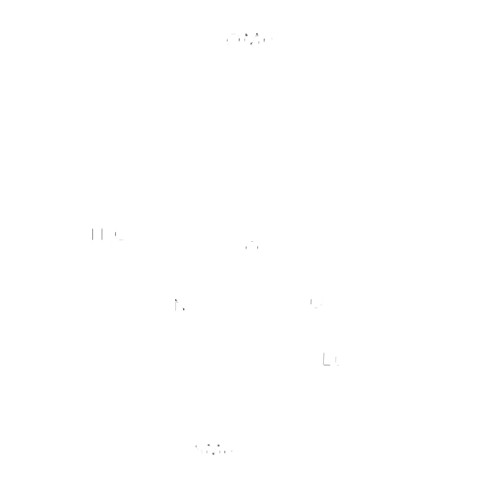 CCOc1oc(C(C)c2ccc(OC)cc2)nc1CCSC